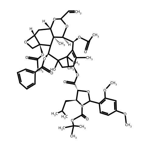 C=CC1O[C@H]2C[C@H]3OC[C@@]3(OC(C)=O)C3[C@H](OC(=O)c4ccccc4)C4(O)C[C@H](OC(=O)[C@@H]5OC(c6ccc(OC)cc6OC)N(C(=O)OC(C)(C)C)[C@H]5CC(C)C)C(C)=C([C@H](OC(C)=O)[C@H](O1)[C@@]32C)C4(C)C